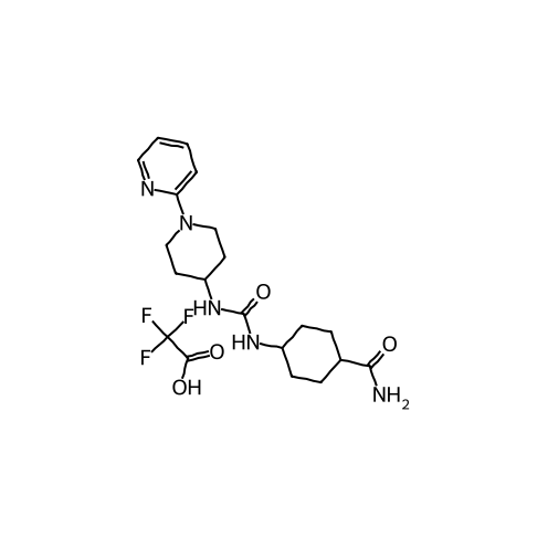 NC(=O)C1CCC(NC(=O)NC2CCN(c3ccccn3)CC2)CC1.O=C(O)C(F)(F)F